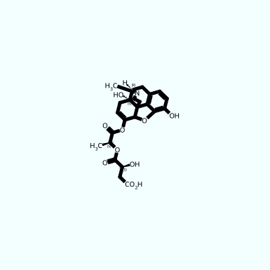 C[C@H](OC(=O)[C@@H](O)CC(=O)O)C(=O)OC1=CC[C@@]2(O)[C@H]3Cc4ccc(O)c5c4C2(CCN3C)C1O5